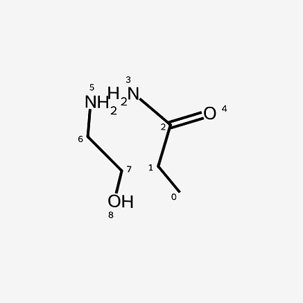 CCC(N)=O.NCCO